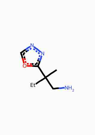 CCC(C)(CN)c1nnco1